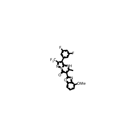 COc1cccc2oc(-c3c(C)[nH]c4c(-c5cc(F)cc(F)c5)c(C(F)(F)F)nn4c3=O)nc12